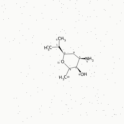 CC(C)[C@H]1C[C@@H](N)[C@@H](O)C(C)O1